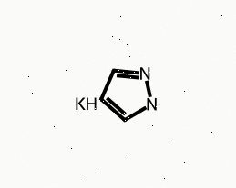 C1=C[N]N=C1.[KH]